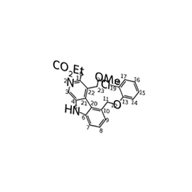 CCOC(=O)c1ncc2[nH]c3cccc(COc4ccccc4Cl)c3c2c1COC